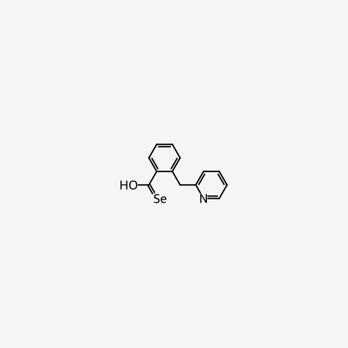 OC(=[Se])c1ccccc1Cc1ccccn1